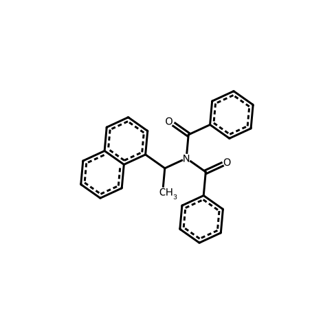 CC(c1cccc2ccccc12)N(C(=O)c1ccccc1)C(=O)c1ccccc1